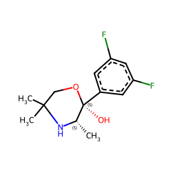 C[C@@H]1NC(C)(C)CO[C@@]1(O)c1cc(F)cc(F)c1